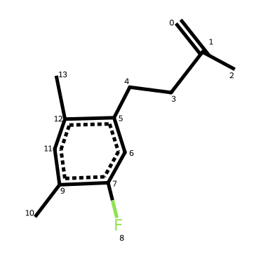 C=C(C)CCc1cc(F)c(C)cc1C